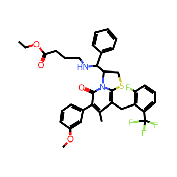 CCOC(=O)CCCNC(c1ccccc1)C1CSc2c(Cc3c(F)cccc3C(F)(F)F)c(C)c(-c3cccc(OC)c3)c(=O)n21